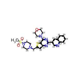 CS(=O)(=O)N1CCN(Cc2cc3nc(-c4cnc5ccccc5c4)nc(N4CCOCC4)c3s2)CC1